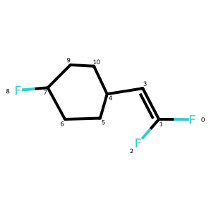 FC(F)=CC1CCC(F)CC1